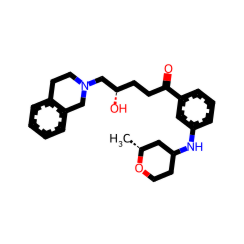 C[C@@H]1CC(Nc2cccc(C(=O)CC[C@H](O)CN3CCc4ccccc4C3)c2)CCO1